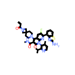 C=CC(=O)N1CC2(CCN(c3c(C(=O)NC)c(=O)n(-c4c(C)ccnc4C(C)C)c4nc(-c5cccc6sc(N)nc56)c(F)cc34)CC2)C1